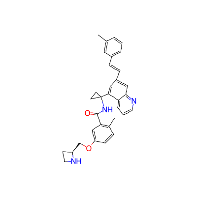 Cc1cccc(/C=C/c2cc(C3(NC(=O)c4cc(OC[C@@H]5CCN5)ccc4C)CC3)c3cccnc3c2)c1